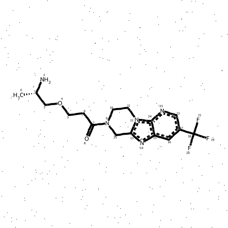 C[C@H](N)COCCC(=O)N1CCn2c(nc3cc(C(F)(F)F)cnc32)C1